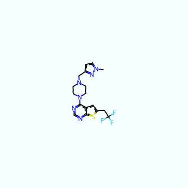 Cn1ccc(CN2CCN(c3ncnc4sc(CC(F)(F)F)cc34)CC2)n1